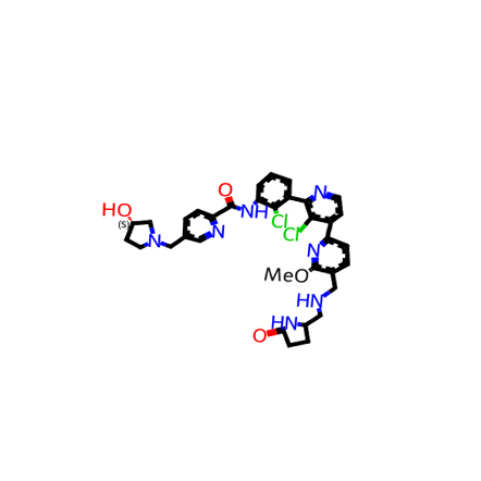 COc1nc(-c2ccnc(-c3cccc(NC(=O)c4ccc(CN5CC[C@H](O)C5)cn4)c3Cl)c2Cl)ccc1CNCC1CCC(=O)N1